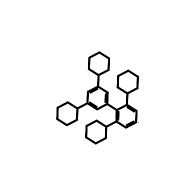 [c]1cc(C2CCCCC2)c(-c2cc(C3CCCCC3)cc(C3CCCCC3)c2)c(C2CCCCC2)c1